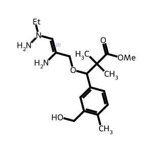 CCN(N)/C=C(\N)COC(c1ccc(C)c(CO)c1)C(C)(C)C(=O)OC